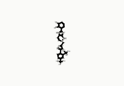 Fc1cccc(-c2nc3c([nH]2)C=CN(Cc2cc(-c4ccc(C(F)(F)F)cc4C(F)(F)F)no2)N3)c1F